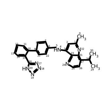 Cc1cc(NCc2ccc(-c3ccccc3-c3nnn[nH]3)cc2)c2nccc(C(C)C)c2n1